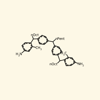 CCCCCCCCC(c1ccc(C(CCCCC)c2ccc(C(CCCCCCCC)c3ccc(N)cc3C)cc2)cc1)c1ccc(N)cc1C